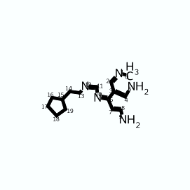 C\N=C/C(=C\N)C(/C=C/N)=N\C=N/CCC1CCCC1